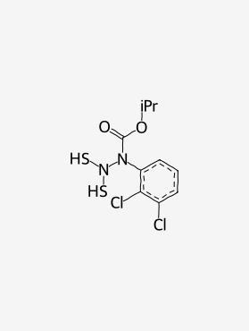 CC(C)OC(=O)N(c1cccc(Cl)c1Cl)N(S)S